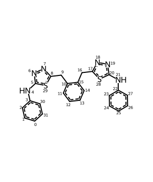 c1ccc(Nc2nnc(Cc3ccccc3Cc3nnc(Nc4ccccc4)s3)s2)cc1